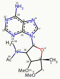 COC[C@@]1(C)OC(n2cnc3c(N)ncnc32)C(N(C)C(C)=O)C1OC